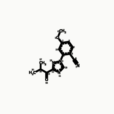 COc1ccc(C#N)c(-n2cnc(C(=O)C(C)C)n2)c1